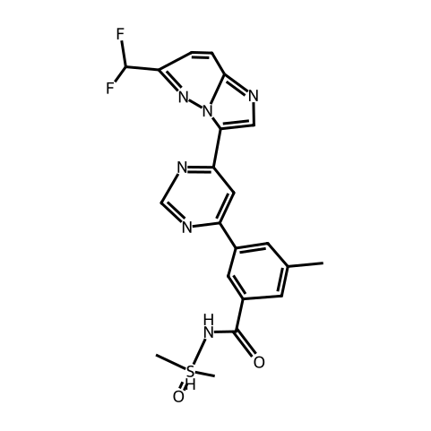 Cc1cc(C(=O)N[SH](C)(C)=O)cc(-c2cc(-c3cnc4ccc(C(F)F)nn34)ncn2)c1